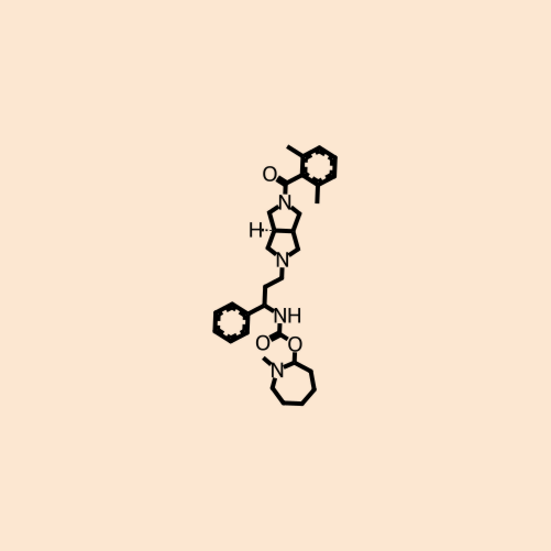 Cc1cccc(C)c1C(=O)N1CC2CN(CCC(NC(=O)OC3CCCCCN3C)c3ccccc3)C[C@H]2C1